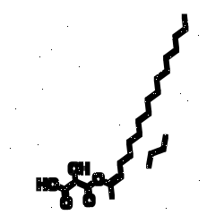 CCCC.CCCCCCCCCCCCCCC/C=C(/C)OC(=O)C(O)C(=O)O